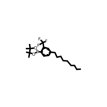 CCCCCCCCCc1ccc(B2OC(C)(C)C(C)(C)O2)c(C(F)(F)F)c1